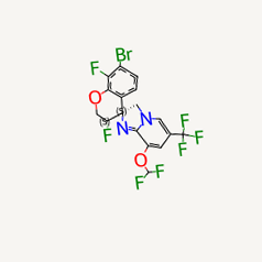 Fc1c(Br)ccc2c1OC[C@@H](F)[C@@]21CN2C=C(C(F)(F)F)C=C(OC(F)F)C2=N1